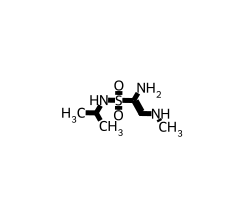 CN/C=C(\N)S(=O)(=O)NC(C)C